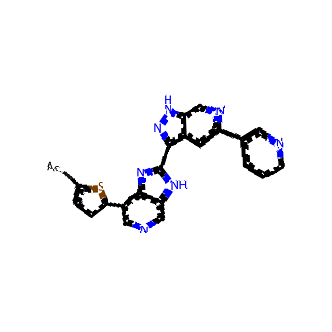 CC(=O)c1ccc(-c2cncc3[nH]c(-c4n[nH]c5cnc(-c6cccnc6)cc45)nc23)s1